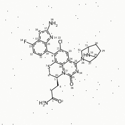 NC(=O)CC[C@H]1CSc2c(-c3ccc(F)c4sc(N)nc34)c(Cl)cc3c(N4CC5CCC(C4)N5)nc(=O)n1c23